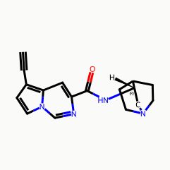 C#Cc1ccn2cnc(C(=O)N[C@H]3CN4CCC3CC4)cc12